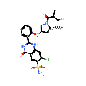 CC(CS)C(=O)N1CC(Oc2ccccc2C2NC(=O)c3cc(S(N)(=O)=O)c(Cl)cc3N2)C[C@H]1C(=O)O